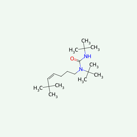 CC(C)(C)/C=C\CCCN(C(=O)NC(C)(C)C)C(C)(C)C